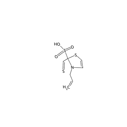 C=CCN1C=CSC1(C=S)S(=O)(=O)O